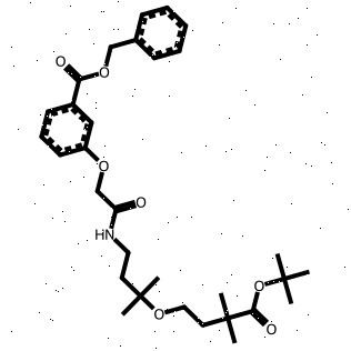 CC(C)(C)OC(=O)C(C)(C)CCOC(C)(C)CCNC(=O)COc1cccc(C(=O)OCc2ccccc2)c1